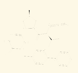 CC(C)[C@H](N=[N+]=[N-])C(=O)N1C[C@H](O)C[C@H]1C(=O)N[C@H](Cc1ccc(-c2ccccc2)cc1)C(N)=O